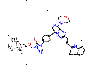 C[Si](C)(C)CCOCn1ncn(-c2ccc(-c3cnc(N4CCOCC4)c4nc(C=Cc5ccc6ccccc6n5)cn34)cc2)c1=O